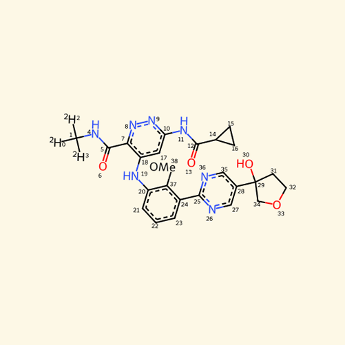 [2H]C([2H])([2H])NC(=O)c1nnc(NC(=O)C2CC2)cc1Nc1cccc(-c2ncc(C3(O)CCOC3)cn2)c1OC